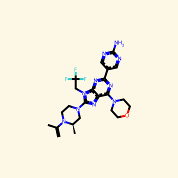 C=C(C)N1CCN(c2nc3c(N4CCOCC4)nc(-c4cnc(N)nc4)nc3n2CC(F)(F)F)C[C@H]1C